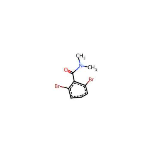 CN(C)C(=O)c1c(Br)cccc1Br